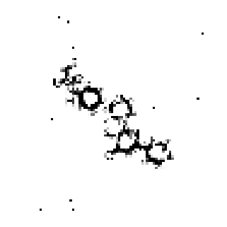 Cn1c(N2CCO[C@@H](c3ccc(NS(=O)(=O)CCl)cc3)C2)nc(-c2ccncn2)cc1=O